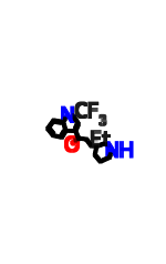 CC[C@@]1(CCC(=O)c2cc(C(F)(F)F)nc3ccccc23)CCCNC1